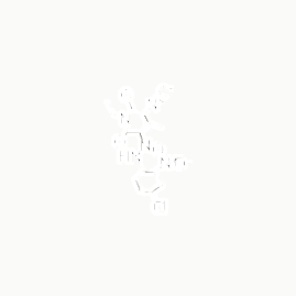 [C-]#[N+]C1=C(C)/C(=N/Nc2ccc(Cl)cc2[N+](=O)[O-])C(=O)N(CC)C1=O